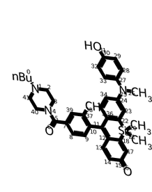 CCCCN1CCN(C(=O)c2ccc(C3=C4C=CC(=O)C=C4[Si](C)(C)c4cc(N(C)c5ccc(O)cc5)ccc43)c(C)c2)CC1